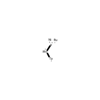 [Ni].[Ru].[Ta][Mo][Ir]